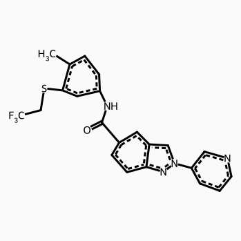 Cc1ccc(NC(=O)c2ccc3nn(-c4cccnc4)cc3c2)cc1SCC(F)(F)F